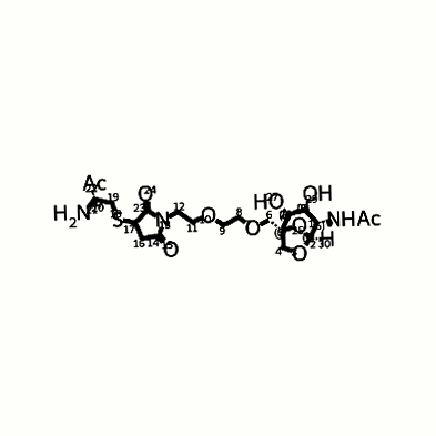 CC(=O)N[C@@H]1[C@H]2OC[C@](COCCOCCN3C(=O)CC(SC[C@H](N)C(C)=O)C3=O)(O2)[C@H](O)[C@@H]1O